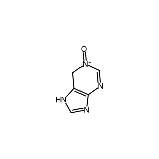 O=[N+]1C=Nc2nc[nH]c2C1